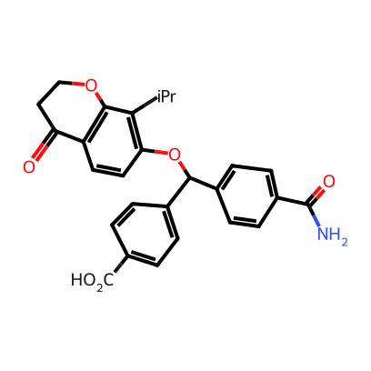 CC(C)c1c(OC(c2ccc(C(N)=O)cc2)c2ccc(C(=O)O)cc2)ccc2c1OCCC2=O